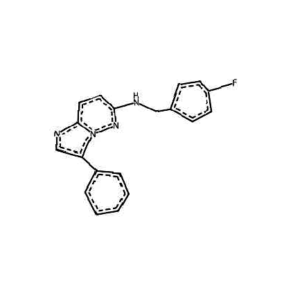 Fc1ccc(CNc2ccc3ncc(-c4ccccc4)n3n2)cc1